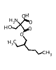 CCCCC(CC)COC(=O)C(N)(CO)C(=O)O